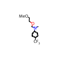 COCCOCN(C)c1ccc(C(F)(F)F)cc1